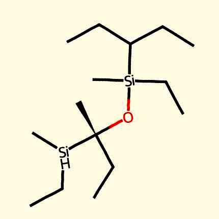 CCC(CC)[Si](C)(CC)O[C@](C)(CC)[SiH](C)CC